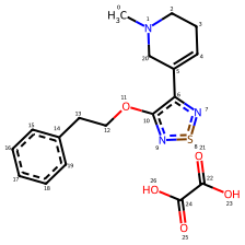 CN1CCC=C(c2nsnc2OCCc2ccccc2)C1.O=C(O)C(=O)O